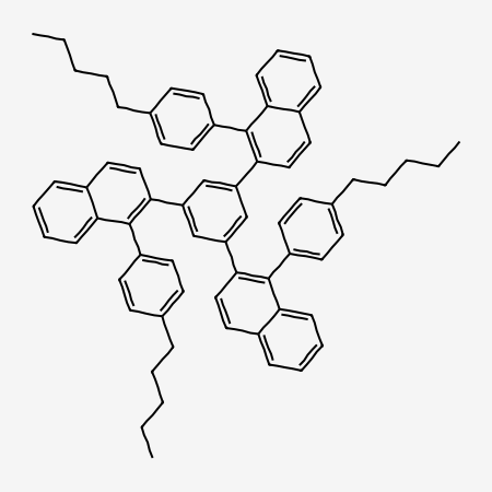 CCCCCc1ccc(-c2c(-c3cc(-c4ccc5ccccc5c4-c4ccc(CCCCC)cc4)cc(-c4ccc5ccccc5c4-c4ccc(CCCCC)cc4)c3)ccc3ccccc23)cc1